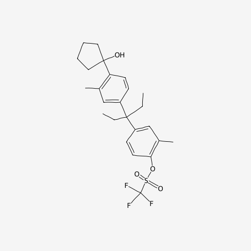 CCC(CC)(c1ccc(OS(=O)(=O)C(F)(F)F)c(C)c1)c1ccc(C2(O)CCCC2)c(C)c1